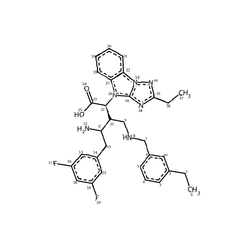 CCc1cccc(CNCC(C(N)Cc2cc(F)cc(F)c2)[C@@H](C(=O)O)n2c3ccccc3n3nc(CC)nc23)c1